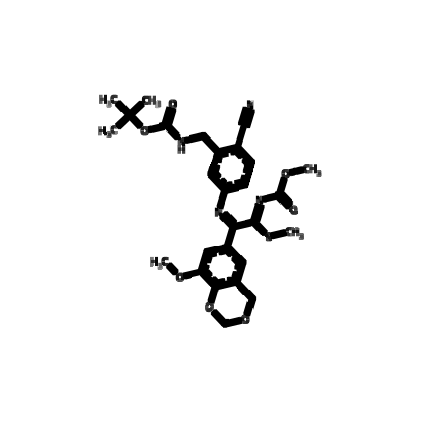 COC(=O)N=C(SC)C(=Nc1ccc(C#N)c(CNC(=O)OC(C)(C)C)c1)c1cc2c(c(OC)c1)OCOC2